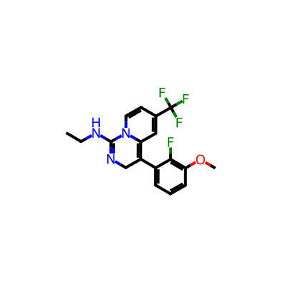 CCNC1=NCC(c2cccc(OC)c2F)=C2C=C(C(F)(F)F)C=CN12